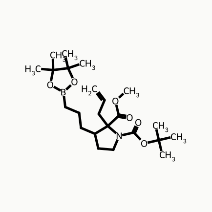 C=CCC1(C(=O)OC)C(CCCB2OC(C)(C)C(C)(C)O2)CCN1C(=O)OC(C)(C)C